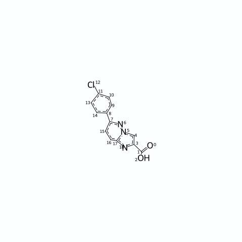 O=C(O)c1cn2nc(-c3ccc(Cl)cc3)ccc2n1